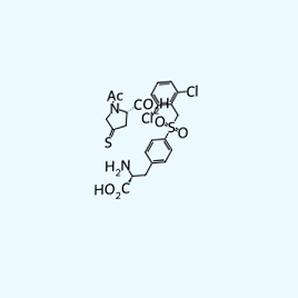 CC(=O)N1CC(=S)C[C@H]1C(=O)O.N[C@@H](Cc1ccc(S(=O)(=O)Cc2c(Cl)cccc2Cl)cc1)C(=O)O